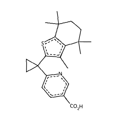 Cc1c(C2(c3ccc(C(=O)O)cn3)CC2)sc2c1C(C)(C)CCC2(C)C